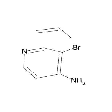 C=CC.Nc1ccncc1Br